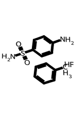 Cc1ccccc1.F.Nc1ccc(S(N)(=O)=O)cc1